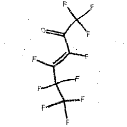 O=C(C(F)=C(F)C(F)(F)C(F)(F)F)C(F)(F)F